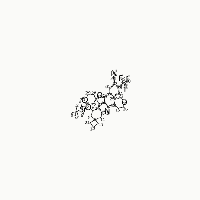 CC(C)(C)[Si](C)(C)OC1CC2(CCC2)Cc2nc(C3CCOCC3)c3c(c21)C1(CCOCC1)O[C@@H]3c1ccc(C(F)(F)F)c(C#N)c1